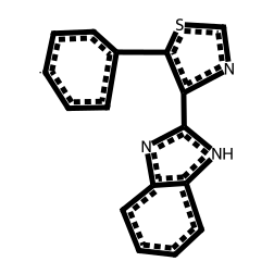 [c]1ccc(-c2scnc2-c2nc3ccccc3[nH]2)cc1